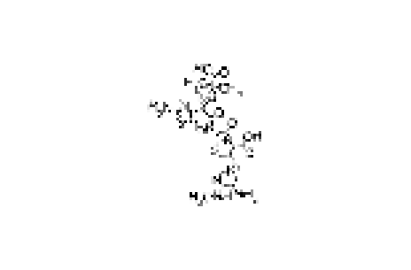 CNc1nc[n+](CC2=C(C(=O)O)N3C(=O)[C@@H](NC(=O)/C(=N\OC(C)(C)C(=O)O)c4csc(N)n4)C3SC2)cc1N